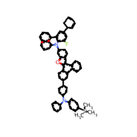 C[Si](C)(C)c1ccc(N(c2ccccc2)c2ccc(-c3ccc4c(c3)c3ccccc3c3c5ccc(N(c6ccccc6)c6c(F)cc(C7C=CC=CC7)cc6-c6ccccc6)cc5oc43)cc2)cc1